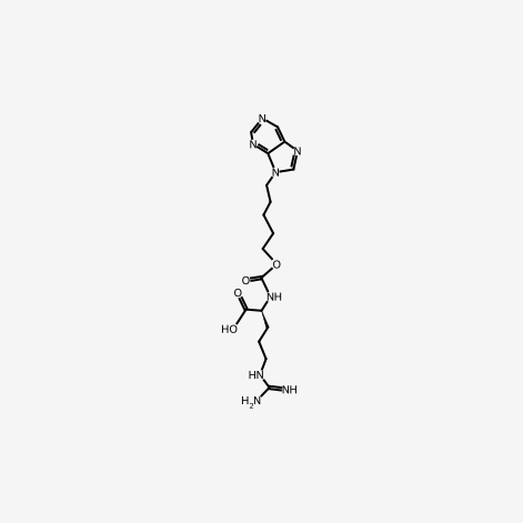 N=C(N)NCCC[C@H](NC(=O)OCCCCCn1cnc2cncnc21)C(=O)O